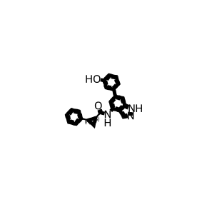 O=C(Nc1cc(-c2cccc(O)c2)cc2[nH]ncc12)[C@H]1C[C@H]1c1ccccc1